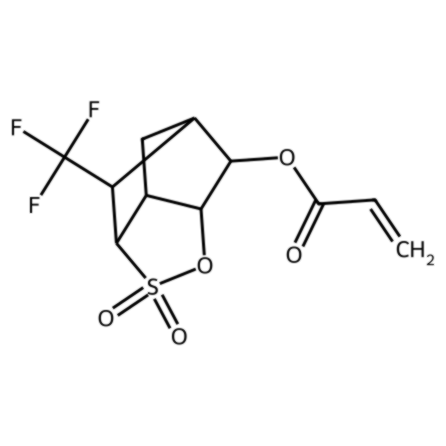 C=CC(=O)OC1C2CC3C1OS(=O)(=O)C3C2C(F)(F)F